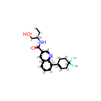 CC[C@H](CO)NC(=O)c1cnc2c(C3=CCC(F)(F)CC3)cccc2c1